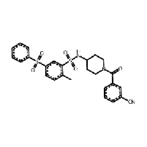 Cc1ccc(S(=O)(=O)c2ccccc2)cc1S(=O)(=O)NC1CCN(C(=O)c2cccc(C#N)c2)CC1